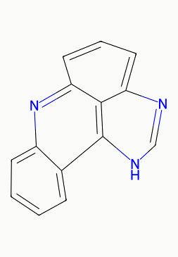 C1=Nc2cccc3nc4ccccc4c(c23)N1